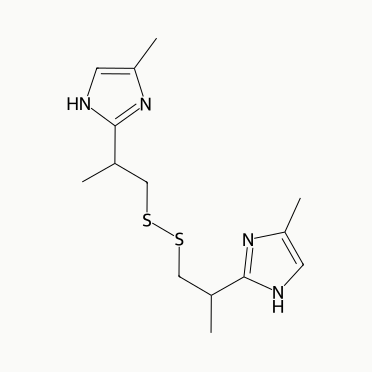 Cc1c[nH]c(C(C)CSSCC(C)c2nc(C)c[nH]2)n1